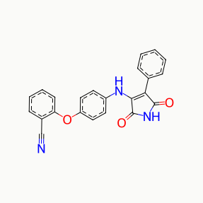 N#Cc1ccccc1Oc1ccc(NC2=C(c3ccccc3)C(=O)NC2=O)cc1